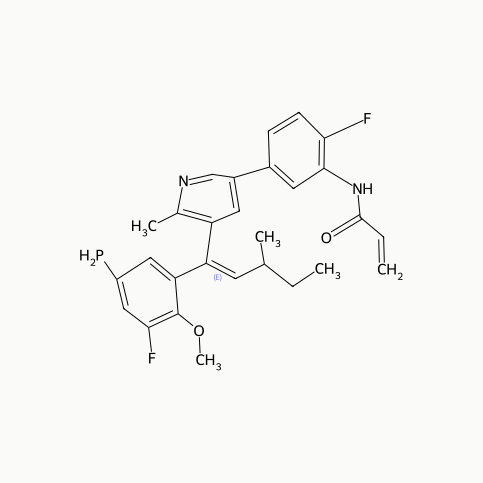 C=CC(=O)Nc1cc(-c2cnc(C)c(/C(=C\C(C)CC)c3cc(P)cc(F)c3OC)c2)ccc1F